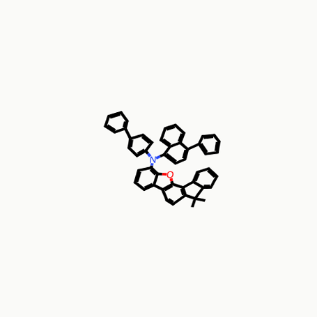 CC1(C)c2ccccc2-c2c1ccc1c2oc2c(N(c3ccc(-c4ccccc4)cc3)c3ccc(-c4ccccc4)c4ccccc34)cccc21